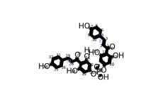 O=C(/C=C/c1ccc(O)cc1)c1c(O)cc(OP(=O)(O)Oc2cc(O)c(C(=O)/C=C/c3ccc(O)cc3)c(O)c2)cc1O